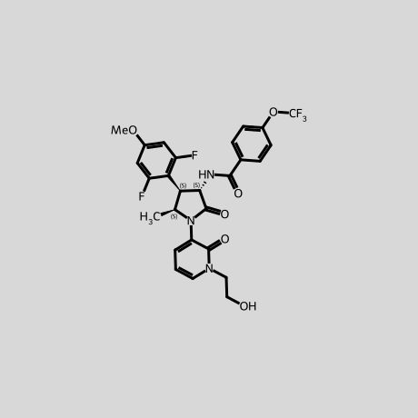 COc1cc(F)c([C@H]2[C@H](NC(=O)c3ccc(OC(F)(F)F)cc3)C(=O)N(c3cccn(CCO)c3=O)[C@H]2C)c(F)c1